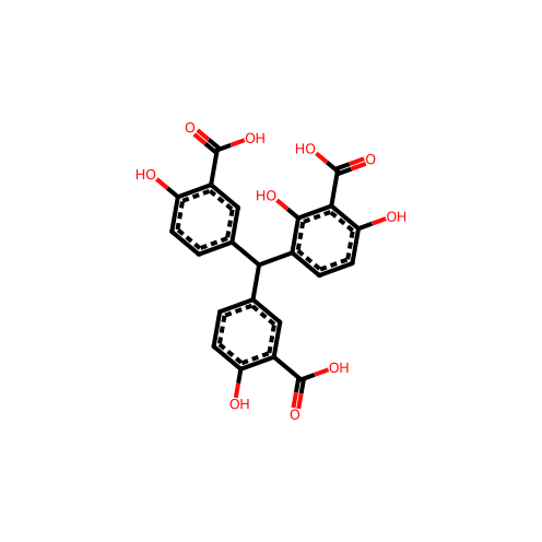 O=C(O)c1cc(C(c2ccc(O)c(C(=O)O)c2)c2ccc(O)c(C(=O)O)c2O)ccc1O